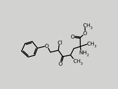 COC(=O)C(C)(N)CC(C)C(=O)C(Cl)COc1ccccc1